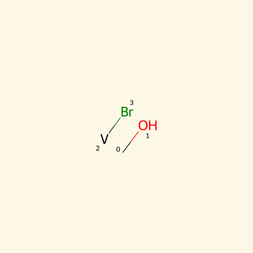 CO.[V][Br]